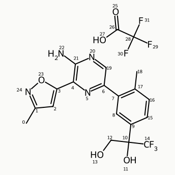 Cc1cc(-c2nc(-c3cc(C(O)(CO)C(F)(F)F)ccc3C)cnc2N)on1.O=C(O)C(F)(F)F